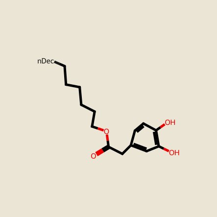 CCCCCCCCCCCCCCCCOC(=O)Cc1ccc(O)c(O)c1